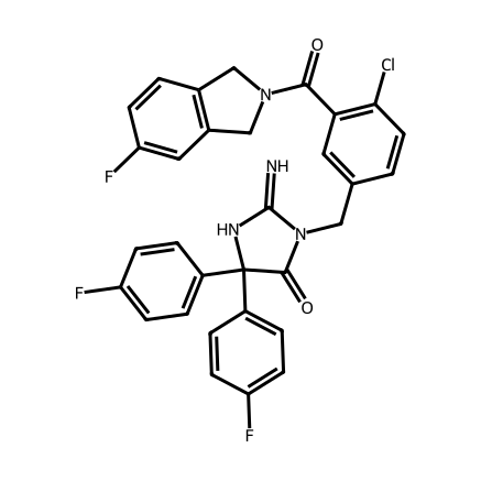 N=C1NC(c2ccc(F)cc2)(c2ccc(F)cc2)C(=O)N1Cc1ccc(Cl)c(C(=O)N2Cc3ccc(F)cc3C2)c1